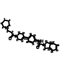 O=C(CCN1CCCCC1)N1CC=C(c2ccc(NC(=O)N3Cc4ccccc4C3)cc2)CC1